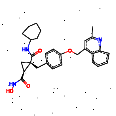 Cc1cc(COc2ccc(C[C@]3(C(=O)NC4CCCCC4)C[C@@H]3C(=O)NO)cc2)c2ccccc2n1